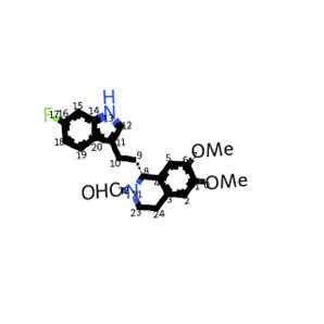 COc1cc2c(cc1OC)[C@@H](CCc1c[nH]c3cc(F)ccc13)N(C=O)CC2